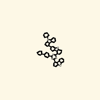 c1ccc(-c2ccc(-c3nc(-c4cccc5oc6ccccc6c45)nc(-c4cccc5oc6cc(-c7cccc8c7c7ccccc7n8-c7ccccc7)ccc6c45)n3)cc2)cc1